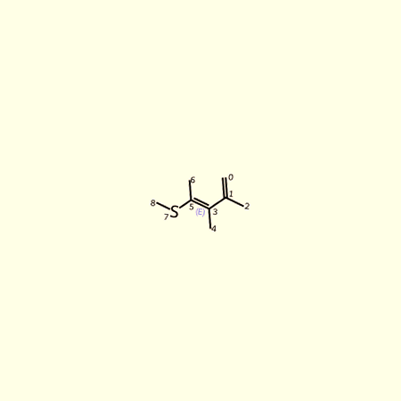 C=C(C)/C(C)=C(\C)SC